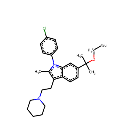 Cc1c(CCN2CCCCC2)c2ccc(C(C)(C)O[SiH2]C(C)(C)C)cc2n1-c1ccc(Cl)cc1